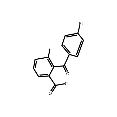 CCc1ccc(C(=O)c2c(C)cccc2C(=O)Cl)cc1